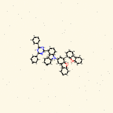 c1ccc(-c2nc(-c3ccccc3)nc(-c3cccc4c3c3ccccc3n4-c3cc(-c4cccc5c4oc4ccccc45)c4oc5ccccc5c4c3)n2)cc1